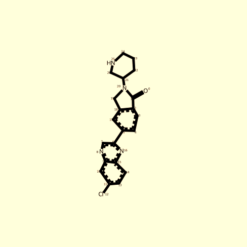 O=C1c2ccc(-c3cnc4cc(Cl)ccc4n3)cc2CN1C1CCCNC1